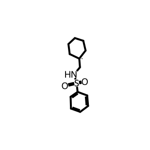 O=S(=O)(NC[C]1CCCCC1)c1ccccc1